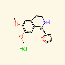 COc1cc2c(cc1OC)[C@H](c1ccco1)NCC2.Cl